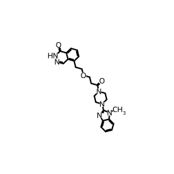 Cn1c(N2CCN(C(=O)CCOCCc3cccc4c(=O)[nH]ncc34)CC2)nc2ccccc21